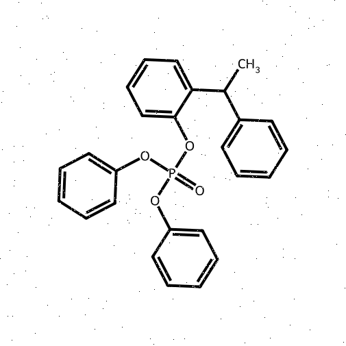 CC(c1ccccc1)c1ccccc1OP(=O)(Oc1ccccc1)Oc1ccccc1